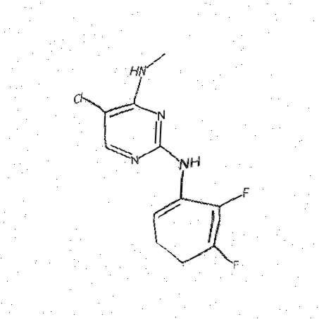 CNc1nc(NC2=CC[CH]C(F)=C2F)ncc1Cl